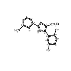 CCOC(=O)c1cc(-c2ccnc(N)n2)[nH]c1-c1cc(Br)ccc1F